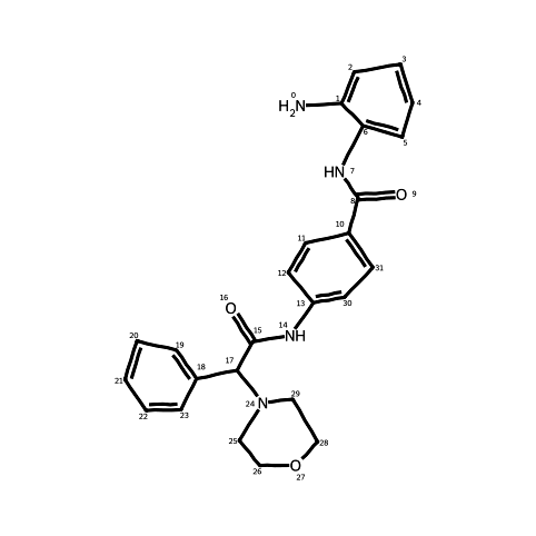 Nc1ccccc1NC(=O)c1ccc(NC(=O)C(c2ccccc2)N2CCOCC2)cc1